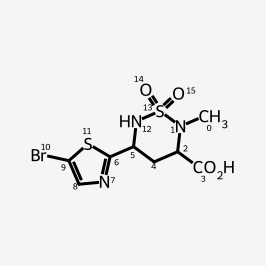 CN1C(C(=O)O)CC(c2ncc(Br)s2)NS1(=O)=O